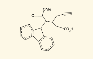 C#CCC(CC(=O)O)N(C(=O)OC)C1c2ccccc2-c2ccccc21